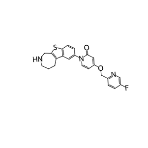 O=c1cc(OCc2ccc(F)cn2)ccn1-c1ccc2sc3c(c2c1)CCCNC3